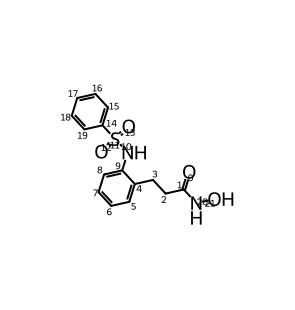 O=C(CCc1ccccc1NS(=O)(=O)c1ccccc1)NO